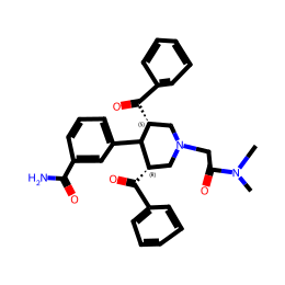 CN(C)C(=O)CN1C[C@H](C(=O)c2ccccc2)C(c2cccc(C(N)=O)c2)[C@H](C(=O)c2ccccc2)C1